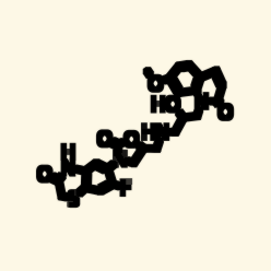 COc1ccc2ccc(=O)n(CC(O)CNCC3CN(c4cc5c(cc4F)SCC(=O)N5)C(=O)O3)c2c1